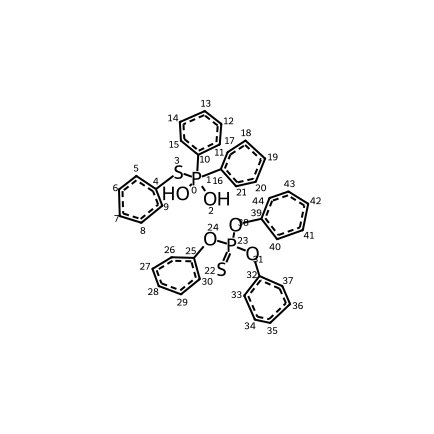 OP(O)(Sc1ccccc1)(c1ccccc1)c1ccccc1.S=P(Oc1ccccc1)(Oc1ccccc1)Oc1ccccc1